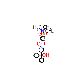 CCN(C(C)C)S(=O)(=O)c1ccc(OC(=O)N2CCC(C(O)(c3ccccc3)c3ccccc3)CC2)cc1